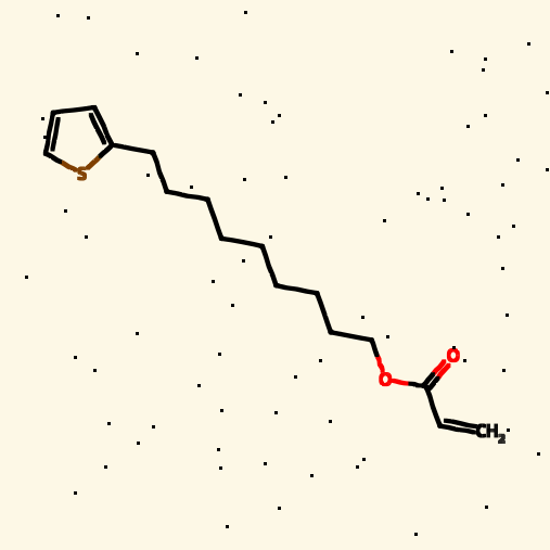 C=CC(=O)OCCCCCCCCCc1cccs1